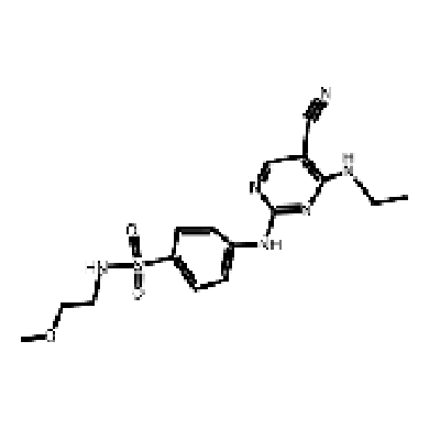 CCNc1nc(Nc2ccc(S(=O)(=O)NCCOC)cc2)ncc1C#N